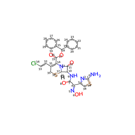 Nc1nc(/C(=N\O)C(=O)NC2C(=O)N3C(C(=O)OC(c4ccccc4)c4ccccc4)=C(/C=C/Cl)CS[C@H]23)cs1